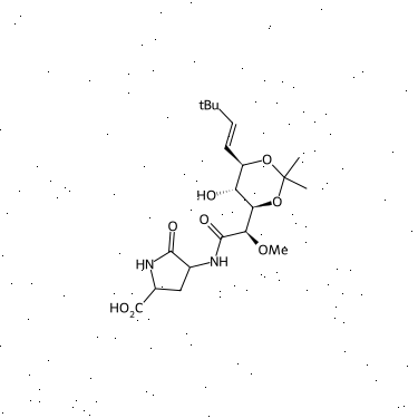 CO[C@@H](C(=O)NC1CC(C(=O)O)NC1=O)[C@@H]1OC(C)(C)O[C@H](C=CC(C)(C)C)[C@H]1O